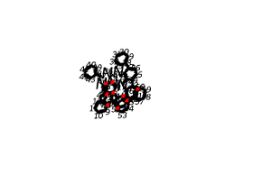 C1=CCCC(c2c(-c3ccccc3)cccc2-n2c3ccccc3c3ccc4c5ccccc5n(-c5nc(-c6ccccc6)nc(-c6cccc(-c7cccc(-c8ccccc8)c7)c6)n5)c4c32)=C1